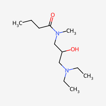 CCCC(=O)N(C)CC(O)CN(CC)CC